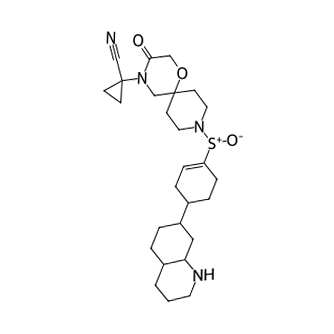 N#CC1(N2CC3(CCN([S+]([O-])C4=CCC(C5CCC6CCCNC6C5)CC4)CC3)OCC2=O)CC1